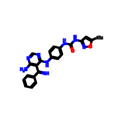 CC(C)(C)c1cc(NC(=O)Nc2ccc(Nc3ncnc(N)c3C(=N)c3ccccc3)cc2)no1